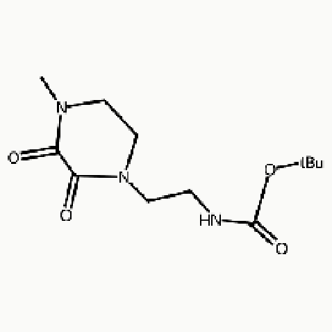 CN1CCN(CCNC(=O)OC(C)(C)C)C(=O)C1=O